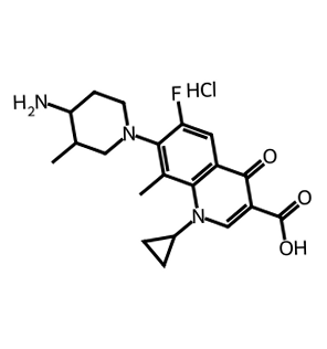 Cc1c(N2CCC(N)C(C)C2)c(F)cc2c(=O)c(C(=O)O)cn(C3CC3)c12.Cl